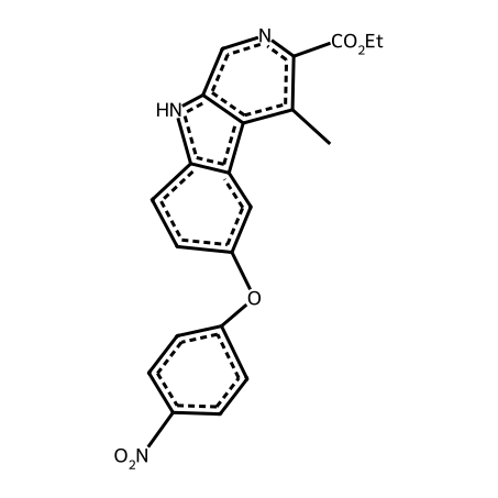 CCOC(=O)c1ncc2[nH]c3ccc(Oc4ccc([N+](=O)[O-])cc4)cc3c2c1C